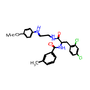 COc1ccc(NCCNC(=O)C(Cc2ccc(Cl)cc2Cl)NC(=O)c2cccc(C)c2)cc1